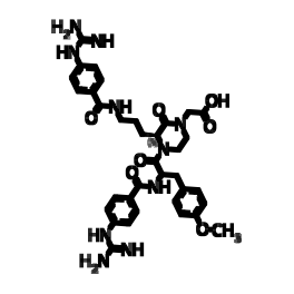 COc1ccc(CC(NC(=O)c2ccc(NC(=N)N)cc2)C(=O)N2CCN(CC(=O)O)C(=O)[C@@H]2CCCNC(=O)c2ccc(NC(=N)N)cc2)cc1